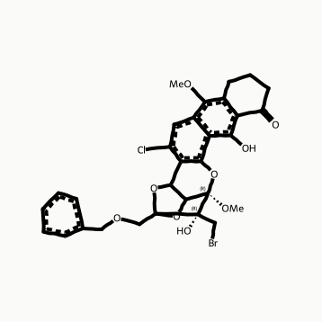 COc1c2c(c(O)c3c4c(c(Cl)cc13)C1OC3(COCc5ccccc5)OC1[C@@](OC)(O4)[C@@]3(O)CBr)C(=O)CCC2